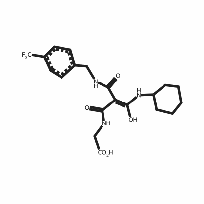 O=C(O)CNC(=O)/C(C(=O)NCc1ccc(C(F)(F)F)cc1)=C(\O)NC1CCCCC1